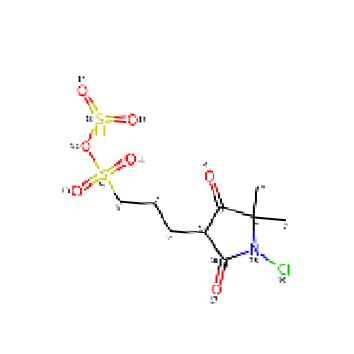 CC1(C)C(=O)C(CCCS(=O)(=O)O[SH](=O)=O)C(=O)N1Cl